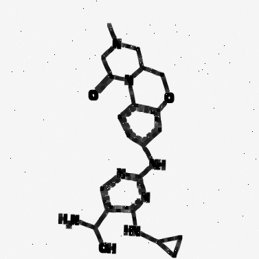 CN1CC(=O)N2c3ccc(Nc4ncc(C(N)O)c(NC5CC5)n4)cc3OCC2C1